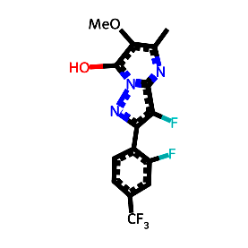 COc1c(C)nc2c(F)c(-c3ccc(C(F)(F)F)cc3F)nn2c1O